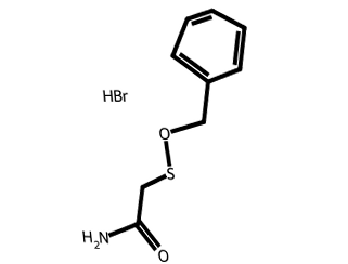 Br.NC(=O)CSOCc1ccccc1